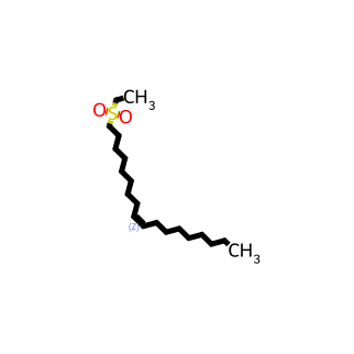 CCCCCCCC/C=C\CCCCCCCCS(=O)(=O)CC